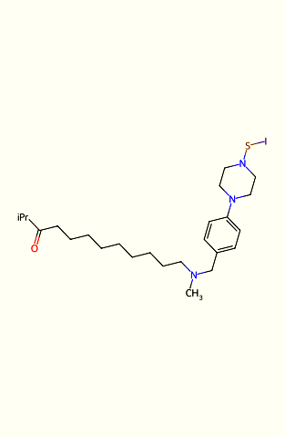 CC(C)C(=O)CCCCCCCCCN(C)Cc1ccc(N2CCN(SI)CC2)cc1